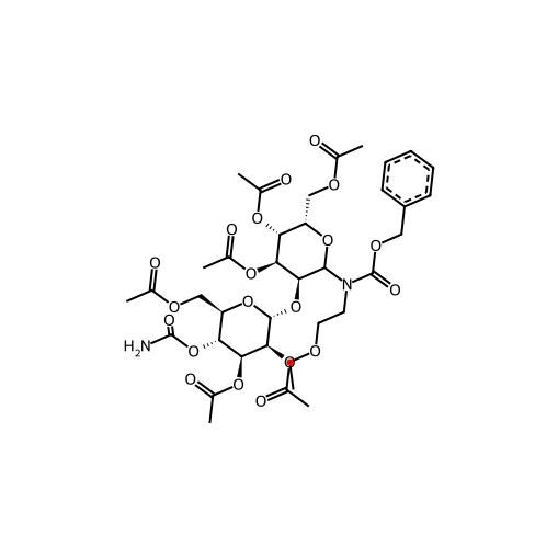 CCOCCN(C(=O)OCc1ccccc1)C1O[C@@H](COC(C)=O)[C@@H](OC(C)=O)[C@H](OC(C)=O)[C@@H]1O[C@H]1O[C@H](COC(C)=O)[C@@H](OC(N)=O)[C@H](OC(C)=O)[C@@H]1OC(C)=O